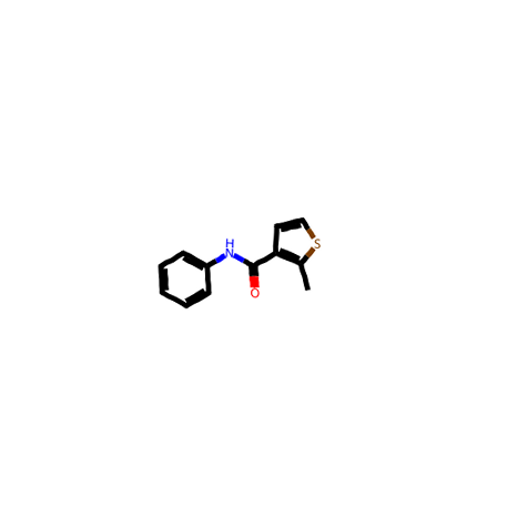 Cc1sccc1C(=O)Nc1ccccc1